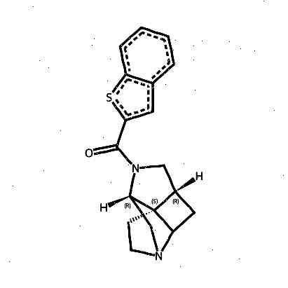 O=C(c1cc2ccccc2s1)N1C[C@@H]2CC3N4CC[C@@]32[C@@H]1C4